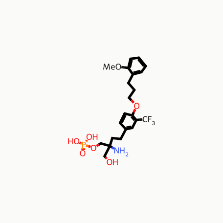 COc1ccccc1CCCOc1ccc(CCC(N)(CO)COP(=O)(O)O)cc1C(F)(F)F